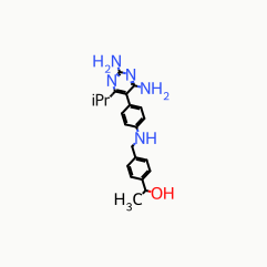 CC(C)c1nc(N)nc(N)c1-c1ccc(NCc2ccc(C(C)O)cc2)cc1